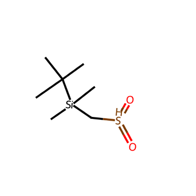 CC(C)(C)[Si](C)(C)C[SH](=O)=O